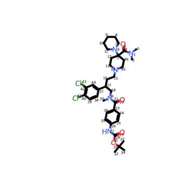 CN(C)C(=O)C1(N2CCCCC2)CCN(CCC(CN(C)C(=O)c2ccc(NC(=O)OC(C)(C)C)cc2)c2ccc(Cl)c(Cl)c2)CC1